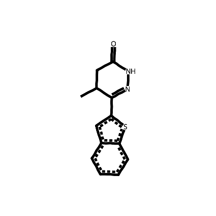 CC1CC(=O)NN=C1c1cc2ccccc2s1